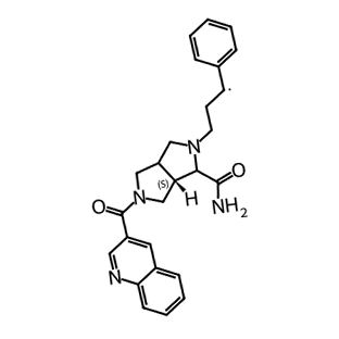 NC(=O)C1[C@@H]2CN(C(=O)c3cnc4ccccc4c3)CC2CN1CC[CH]c1ccccc1